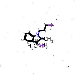 CC1N(CCCI)c2ccccc2C1(C)C.I